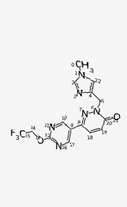 Cn1cnc(Cn2nc(-c3cnc(OCC(F)(F)F)nc3)ccc2=O)c1